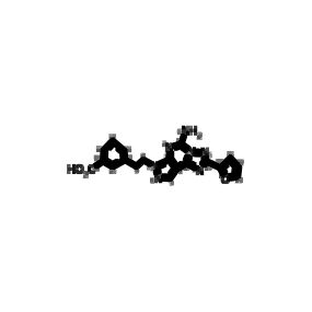 Nc1nc2c(cnn2CCc2cccc(C(=O)O)c2)c2nc(-c3cc#co3)nn12